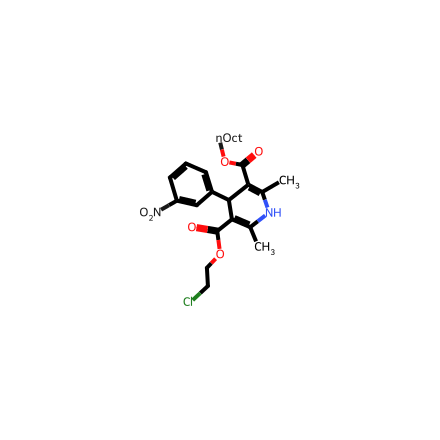 CCCCCCCCOC(=O)C1=C(C)NC(C)=C(C(=O)OCCCl)C1c1cccc([N+](=O)[O-])c1